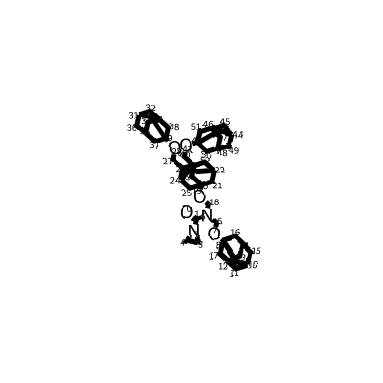 O=C(N1CC1)N(COC12CC3CC(CC(C3)C1)C2)COC12CC3CC(C1)C(COC14CC5CC(CC(C5)C1)C4)C(COC14CC5CC(CC(C5)C1)C4)(C3)C2